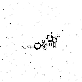 CC(=O)Nc1ccc(S(=O)(=O)Nc2ccc(C)c3c(Cl)c[nH]c23)cc1